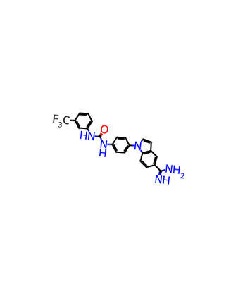 N=C(N)c1ccc2c(ccn2-c2ccc(NC(=O)Nc3cccc(C(F)(F)F)c3)cc2)c1